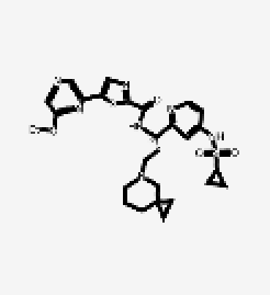 CCOc1cncc(-c2cnc(C(=O)N[C@@H](CCN3CCCC4(CC4)C3)c3cc(NS(=O)(=O)C4CC4)ccn3)s2)n1